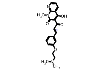 CN(C)CCOc1cccc(/C=C/C(=O)c2c(O)c3cccnc3n(C)c2=O)c1